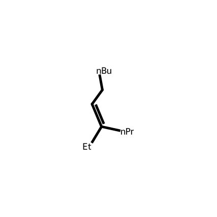 CCCCCC=C(CC)CCC